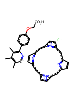 C1=Cc2cc3ccc(cc4nc(cc5ccc(cc1n2)[nH]5)C=C4)[nH]3.CC1=C(C)C(C)=C(c2ccc(OCC(=O)O)cc2)N=[C+]1.[Cl-]